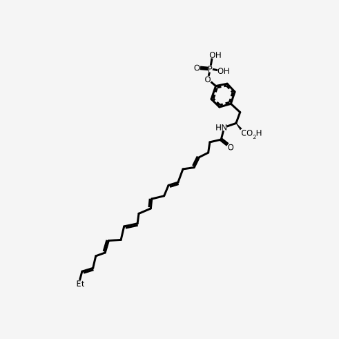 CCC=CCC=CCC=CCC=CCC=CCC=CCCC(=O)N[C@@H](Cc1ccc(OP(=O)(O)O)cc1)C(=O)O